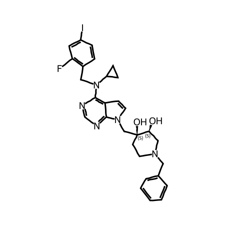 O[C@H]1CN(Cc2ccccc2)CC[C@]1(O)Cn1ccc2c(N(Cc3ccc(I)cc3F)C3CC3)ncnc21